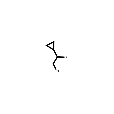 [O]C(CO)C1CC1